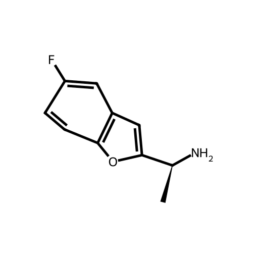 C[C@H](N)c1cc2cc(F)ccc2o1